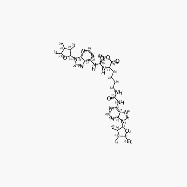 CCC1OC(n2cnc3c(NC(=O)NCCCCC(NC(=O)Nc4ncnc5c4ncn5C4OC(C)C(C)C4C)C(=O)OC)ncnc32)C(C)C1C